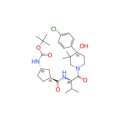 CC(C)[C@@H](NC(=O)[C@H]1CC[C@H](NC(=O)OC(C)(C)C)C1)C(=O)N1CC[C@](O)(c2ccc(Cl)cc2)C(C)(C)C1